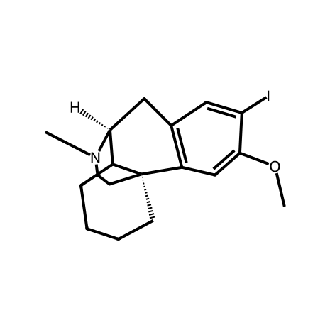 COc1cc2c(cc1I)C[C@H]1C3CCCC[C@@]23CCN1C